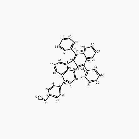 O=Cc1ccc(-c2ccc3c4c(cccc24)-c2c-3c(-c3ccccc3)c3ccccc3c2-c2ccccc2)cc1